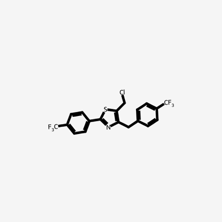 FC(F)(F)c1ccc(Cc2nc(-c3ccc(C(F)(F)F)cc3)sc2CCl)cc1